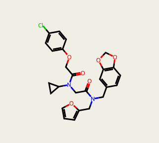 O=C(CN(C(=O)COc1ccc(Cl)cc1)C1CC1)N(Cc1ccc2c(c1)OCO2)Cc1ccco1